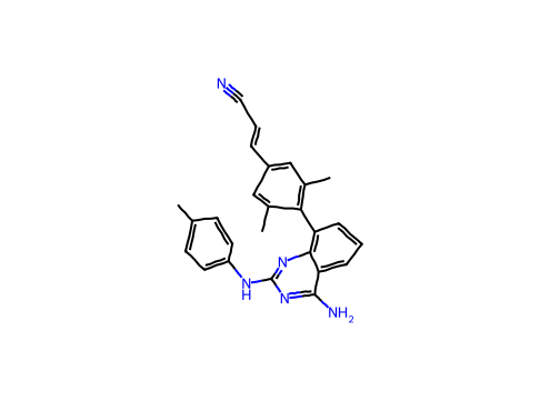 Cc1ccc(Nc2nc(N)c3cccc(-c4c(C)cc(/C=C/C#N)cc4C)c3n2)cc1